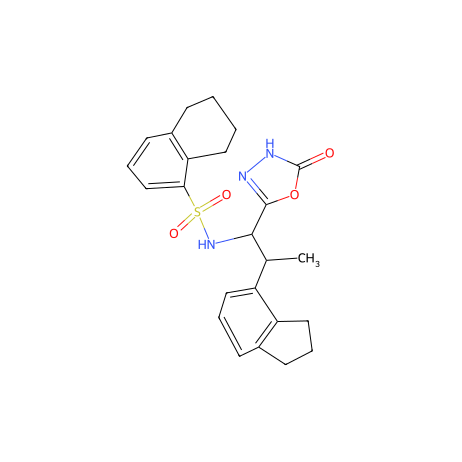 CC(c1cccc2c1CCC2)C(NS(=O)(=O)c1cccc2c1CCCC2)c1n[nH]c(=O)o1